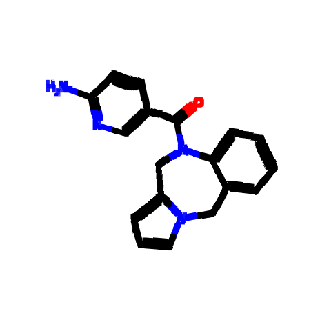 Nc1ccc(C(=O)N2Cc3cccn3Cc3ccccc32)cn1